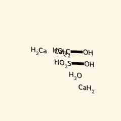 O.O=C(O)O.O=S(=O)(O)O.[CaH2].[CaH2].[CaH2]